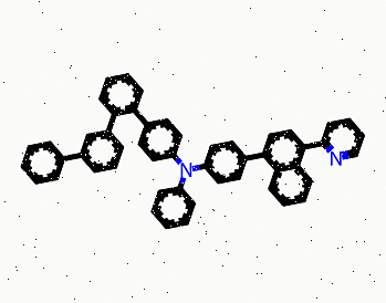 c1ccc(-c2cccc(-c3ccccc3-c3ccc(N(c4ccccc4)c4ccc(-c5ccc(-c6ccccn6)c6ccccc56)cc4)cc3)c2)cc1